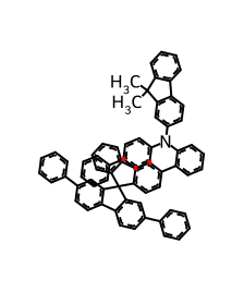 CC1(C)c2ccccc2-c2ccc(N(c3ccc(-c4ccccc4)cc3)c3ccccc3-c3ccc4c(c3)-c3ccccc3C43c4cc(-c5ccccc5)ccc4-c4ccc(-c5ccccc5)cc43)cc21